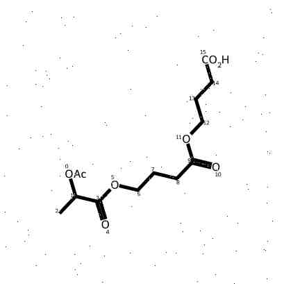 CC(=O)OC(C)C(=O)OCCCC(=O)OCCCC(=O)O